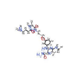 CCc1nc(C(N)=O)c(Nc2cccc(OCCCNC(=O)[C@H](C)N(C)C(=O)/C=C/CN(C)C)c2)nc1N(C)C(C)C